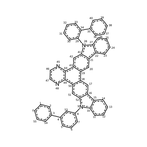 c1ccc(-c2cccc(-n3c4ccccc4c4cc5c6cc7c8ccccc8n(-c8ccccc8-c8ccccc8)c7cc6c6nccnc6c5cc43)c2)cc1